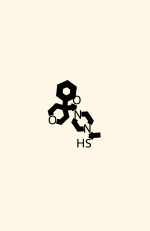 CC(S)N1CCN(C(=O)C2(c3ccccc3)CCOCC2)CC1